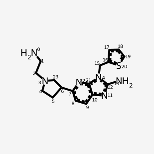 NCCN1CCC(c2ccc3nc(N)n(Cc4cccs4)c3n2)C1